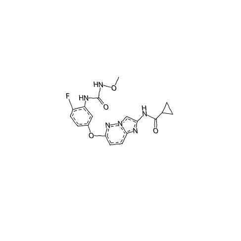 CONC(=O)Nc1cc(Oc2ccc3nc(NC(=O)C4CC4)cn3n2)ccc1F